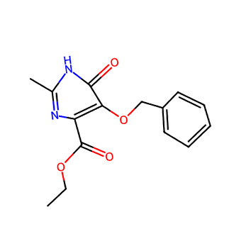 CCOC(=O)c1nc(C)[nH]c(=O)c1OCc1ccccc1